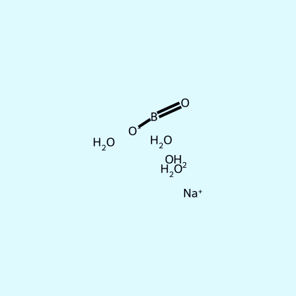 O.O.O.O.O=B[O-].[Na+]